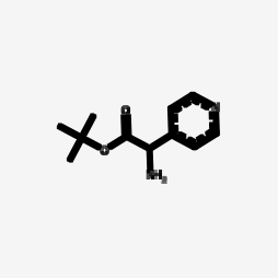 CC(C)(C)OC(=O)C(N)c1ccncc1